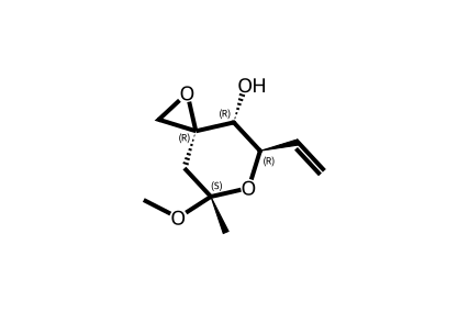 C=C[C@H]1O[C@](C)(OC)C[C@@]2(CO2)[C@@H]1O